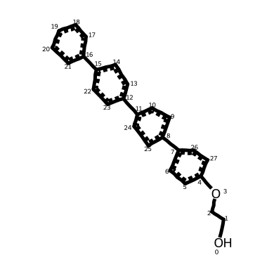 OCCOc1ccc(-c2ccc(-c3ccc(-c4ccccc4)cc3)cc2)cc1